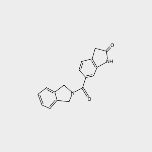 O=C1Cc2ccc(C(=O)N3Cc4ccccc4C3)cc2N1